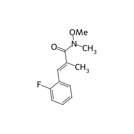 CON(C)C(=O)/C(C)=C/c1ccccc1F